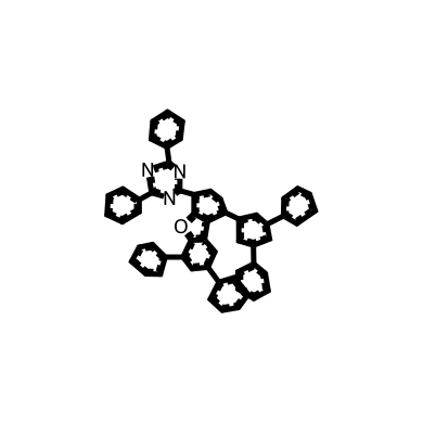 c1ccc(-c2cc(-c3ccccc3)cc(-c3ccc(-c4nc(-c5ccccc5)nc(-c5ccccc5)n4)c4oc5c(-c6ccccc6)cc(-c6ccccc6)cc5c34)c2)cc1